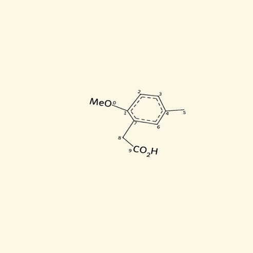 COc1ccc(C)cc1CC(=O)O